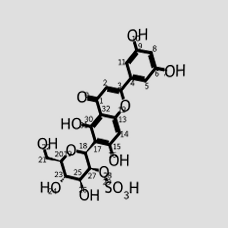 O=c1cc(-c2cc(O)cc(O)c2)oc2cc(O)c([C@@H]3O[C@H](CO)[C@@H](O)[C@H](O)[C@@H]3OS(=O)(=O)O)c(O)c12